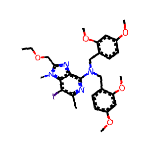 CCOCc1nc2c(N(Cc3ccc(OC)cc3OC)Cc3ccc(OC)cc3OC)nc(C)c(I)c2n1C